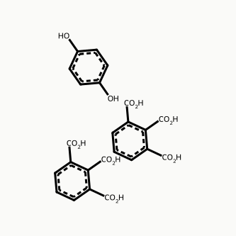 O=C(O)c1cccc(C(=O)O)c1C(=O)O.O=C(O)c1cccc(C(=O)O)c1C(=O)O.Oc1ccc(O)cc1